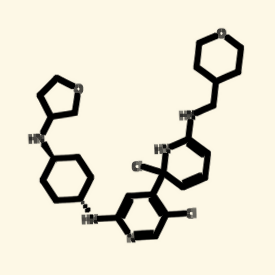 Clc1cnc(N[C@H]2CC[C@H](NC3CCOC3)CC2)cc1C1(Cl)C=CC=C(NCC2CCOCC2)N1